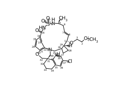 COCCO[C@H]1/C=C/C[C@H](C)NS(=O)(=O)NC(=O)c2ccc3c(c2)N(C[C@@H]2CC[C@H]21)C[C@@]1(CCCc2cc(Cl)ccc21)CO3